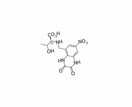 CC(O)[C@H](NCc1cc([N+](=O)[O-])cc2[nH]c(=O)c(=O)[nH]c12)C(=O)O